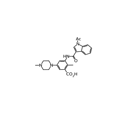 CC(=O)n1cc(C(=O)Nc2cc(N3CCN(C)CC3)cc(C(=O)O)c2C)c2ccccc21